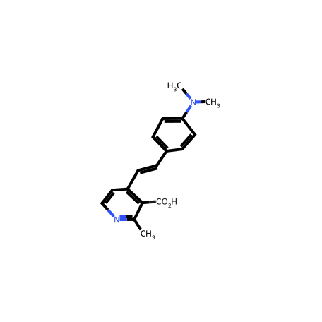 Cc1nccc(C=Cc2ccc(N(C)C)cc2)c1C(=O)O